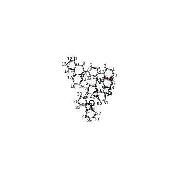 c1ccc(-c2ccc(-c3cc4ccccc4c4ccccc34)cc2N(c2ccc(-c3cccc4c3oc3ccccc34)cc2)c2cccc3sc4ccccc4c23)cc1